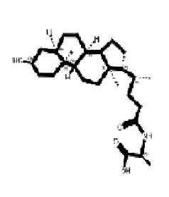 C[C@H](NC(=O)CC[C@@H](C)[C@H]1CCC2[C@@H]3CC[C@@H]4C[C@H](O)CC[C@]4(C)[C@H]3CC[C@@]21C)C(=O)O